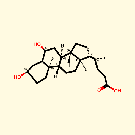 C[C@H](CCC(=O)O)[C@H]1CC[C@H]2[C@@H]3C[C@H](O)C4C[C@H](O)CC[C@]4(C)[C@H]3CC[C@]12C